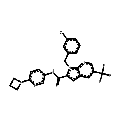 O=C(Nc1ccc(N2CCC2)nc1)c1cc2cc(C(F)(F)F)cnc2n1Cc1cccc(Cl)c1